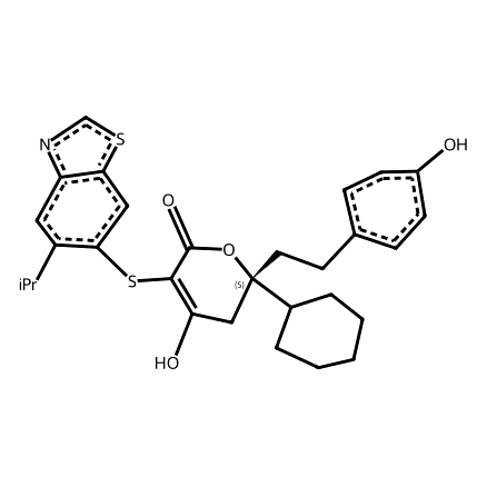 CC(C)c1cc2ncsc2cc1SC1=C(O)C[C@@](CCc2ccc(O)cc2)(C2CCCCC2)OC1=O